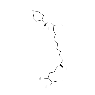 C=C(CCCCCCCCC(CCCCCCCCCC)OC(=C)C1CCN(C)CC1)CCCC(CCC)C(CCC)CCC